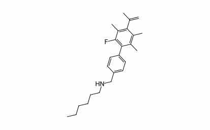 C=C(C)c1c(C)c(C)c(-c2ccc(CNCCCCCC)cc2)c(F)c1C